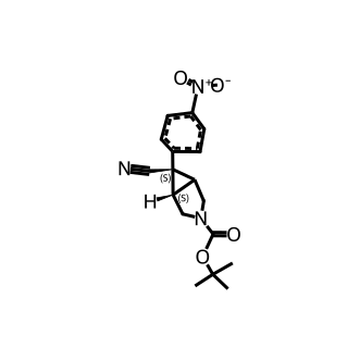 CC(C)(C)OC(=O)N1CC2[C@H](C1)[C@]2(C#N)c1ccc([N+](=O)[O-])cc1